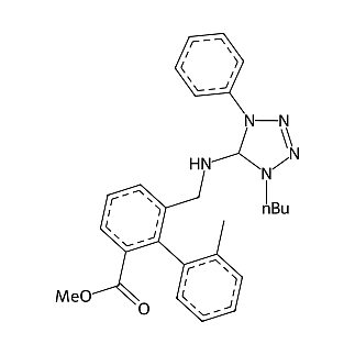 CCCCN1N=NN(c2ccccc2)C1NCc1cccc(C(=O)OC)c1-c1ccccc1C